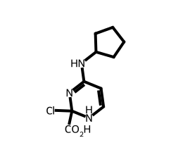 O=C(O)C1(Cl)N=C(NC2CCCC2)C=CN1